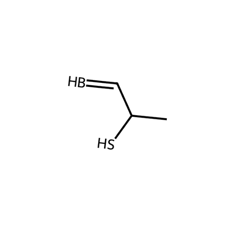 B=CC(C)S